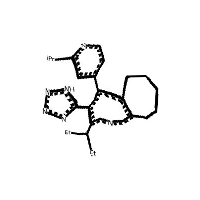 CCC(CC)c1nc2c(c(-c3ccnc(C(C)C)c3)c1-c1nnn[nH]1)CCCCC2